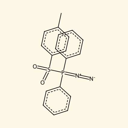 Cc1ccc(S(=O)(=O)P(=[N+]=[N-])(c2ccccc2)c2ccccc2)cc1